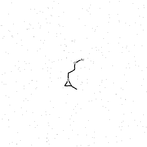 CC(=O)OCCN1CC1C